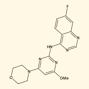 COc1cc(N2CCOCC2)nc(Nc2ncnc3cc(F)ccc23)n1